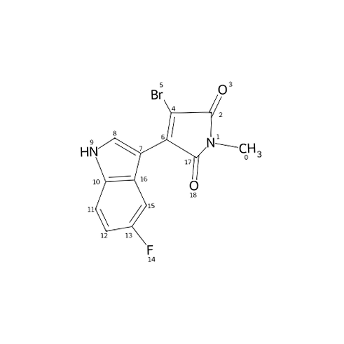 CN1C(=O)C(Br)=C(c2c[nH]c3ccc(F)cc23)C1=O